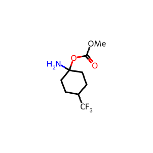 COC(=O)OC1(N)CCC(C(F)(F)F)CC1